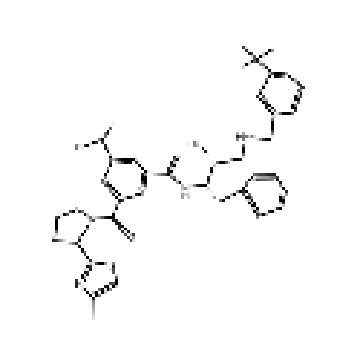 Cc1csc(C2CCCN2C(=O)c2cc(C(=O)N[C@@H](Cc3ccccc3)[C@H](O)CNCc3cncc(C(C)(C)F)c3)cc(C(F)F)c2)n1